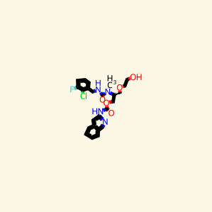 CN(C(=O)NCc1cccc(F)c1Cl)[C@@H](COCCO)COC(=O)Nc1cc2ccccc2cn1